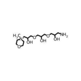 C[N+]1(CC(O)COCC(O)COCC(O)CN)CCOCC1